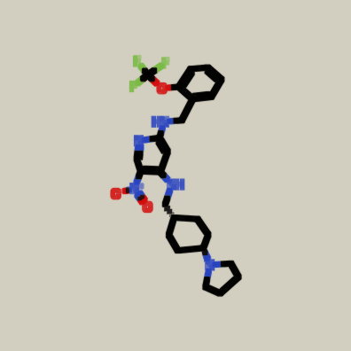 O=[N+]([O-])c1cnc(NCc2ccccc2OC(F)(F)F)cc1NC[C@H]1CC[C@H](N2CCCC2)CC1